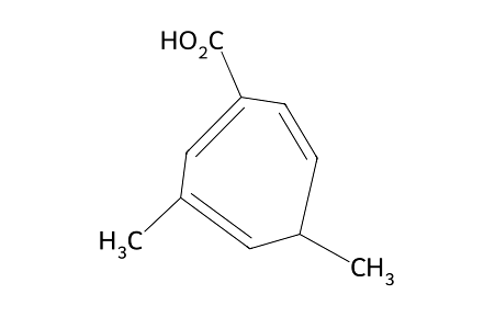 CC1=CC(C)C=CC(C(=O)O)=C1